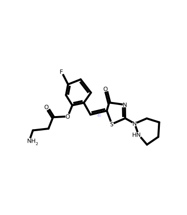 NCCC(=O)Oc1cc(F)ccc1/C=C1/SC(N2CCCCN2)=NC1=O